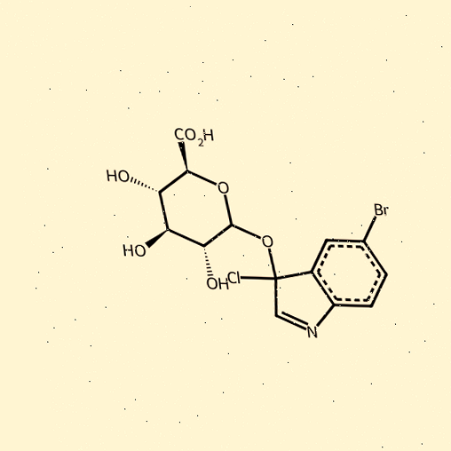 O=C(O)[C@H]1OC(OC2(Cl)C=Nc3ccc(Br)cc32)[C@H](O)[C@@H](O)[C@@H]1O